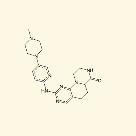 CN1CCN(c2ccc(Nc3ncc4c(n3)N3CCNC(=O)C3CC4)nc2)CC1